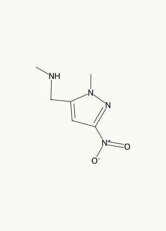 CNCc1cc([N+](=O)[O-])nn1C